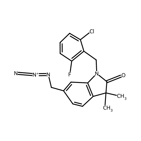 CC1(C)C(=O)N(Cc2c(F)cccc2Cl)c2cc(CN=[N+]=[N-])ccc21